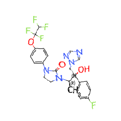 C[C@@H](N1CCN(c2ccc(OC(F)(F)C(F)F)cc2)C1=O)[C@](O)(Cn1cncn1)c1ccc(F)cc1